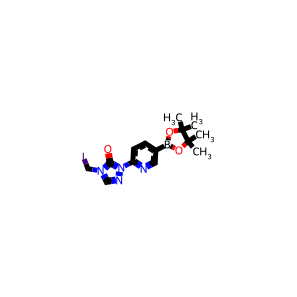 CC1(C)OB(c2ccc(-n3ncn(CI)c3=O)nc2)OC1(C)C